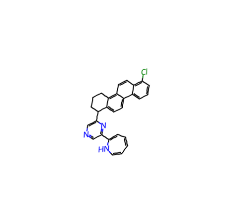 Clc1cccc2c1ccc1c3c(ccc12)C(c1cncc(C2=CC=CC=CN2)n1)CCC3